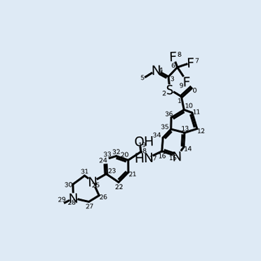 C=C(S/C(=N\C)C(F)(F)F)c1ccc2cnc(NC(O)C(/C=C\C(=C)N3CCN(C)CC3)=C/C)cc2c1